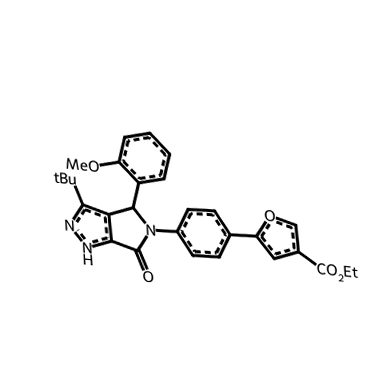 CCOC(=O)c1coc(-c2ccc(N3C(=O)c4[nH]nc(C(C)(C)C)c4C3c3ccccc3OC)cc2)c1